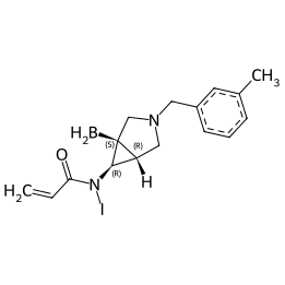 B[C@@]12CN(Cc3cccc(C)c3)C[C@@H]1[C@H]2N(I)C(=O)C=C